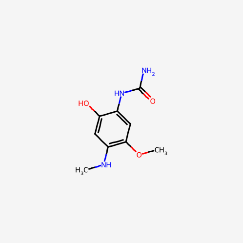 CNc1cc(O)c(NC(N)=O)cc1OC